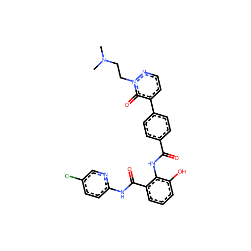 CN(C)CCn1nccc(-c2ccc(C(=O)Nc3c(O)cccc3C(=O)Nc3ccc(Cl)cn3)cc2)c1=O